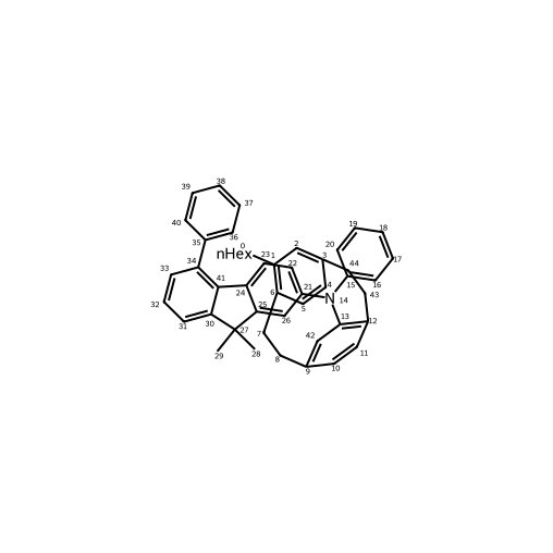 CCCCCCc1cc2ccc1CCc1ccc(c(N(c3ccccc3)c3ccc4c(c3)C(C)(C)c3cccc(-c5ccccc5)c3-4)c1)CC2